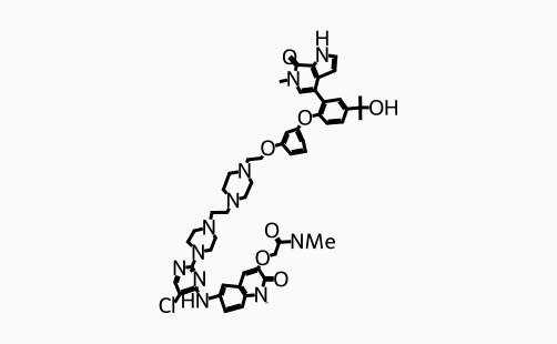 CNC(=O)COc1cc2cc(Nc3nc(N4CCN(CCN5CCN(CCOc6cccc(Oc7ccc(C(C)(C)O)cc7-c7cn(C)c(=O)c8[nH]ccc78)c6)CC5)CC4)ncc3Cl)ccc2n(C)c1=O